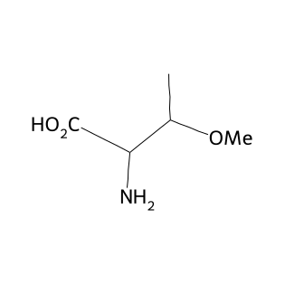 COC(C)C(N)C(=O)O